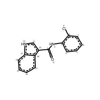 O=C(Nc1ccccc1Cl)c1c[nH]c2ccccc12